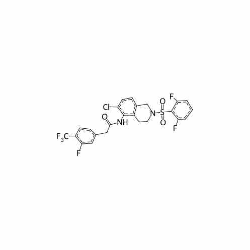 O=C(Cc1ccc(C(F)(F)F)c(F)c1)Nc1c(Cl)ccc2c1CCN(S(=O)(=O)c1c(F)cccc1F)C2